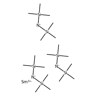 C[Si](C)(C)[N-][Si](C)(C)C.C[Si](C)(C)[N-][Si](C)(C)C.C[Si](C)(C)[N-][Si](C)(C)C.[Sm+3]